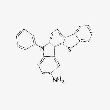 Nc1ccc2c(c1)c1c3sc4ccccc4c3ccc1n2-c1ccccc1